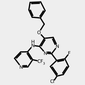 Fc1ccc(Cl)cc1-c1ncc(OCc2ccccc2)c(Nc2ccncc2C(F)(F)F)n1